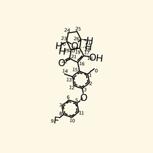 Cc1cc(Oc2ccc(F)cc2)cc(C)c1C1=C(O)[C@H]2[C@@H](C1=O)[C@@H]1CC[C@H]2O1